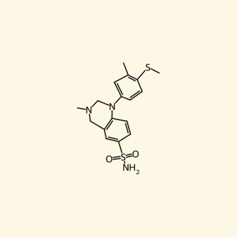 CSc1ccc(N2CN(C)Cc3cc(S(N)(=O)=O)ccc32)cc1C